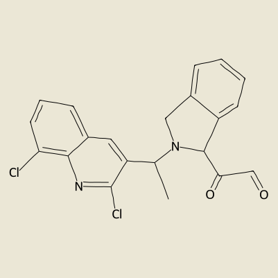 CC(c1cc2cccc(Cl)c2nc1Cl)N1Cc2ccccc2C1C(=O)C=O